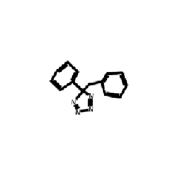 c1ccc(CC2(c3ccccc3)N=NN=N2)cc1